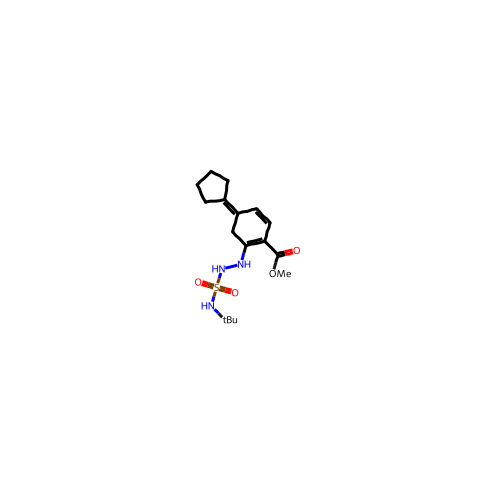 COC(=O)C1=C(NNS(=O)(=O)NC(C)(C)C)CC(=C2CCCC2)C=C1